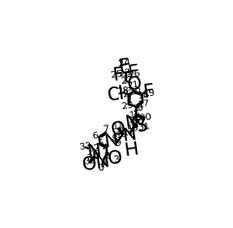 Cn1c(=O)c2c(ccn2CC(=O)Nc2nc(-c3cc(F)c(OCC(F)(F)F)c(Cl)c3)cs2)n(C)c1=O